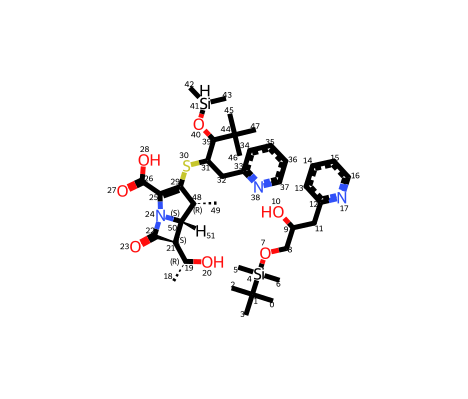 CC(C)(C)[Si](C)(C)OCC(O)Cc1ccccn1.C[C@@H](O)[C@H]1C(=O)N2C(C(=O)O)=C(SC(Cc3ccccn3)C(O[SiH](C)C)C(C)(C)C)[C@H](C)[C@H]12